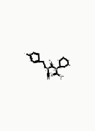 N#CN(CCc1ccc(I)cc1)C(=O)N(C(=O)O)C1CCCCC1